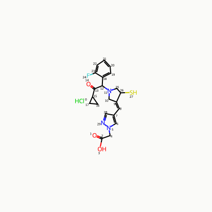 Cl.O=C(O)Cn1cc(C=C2CN(C(C(=O)C3CC3)c3ccccc3F)CC2S)cn1